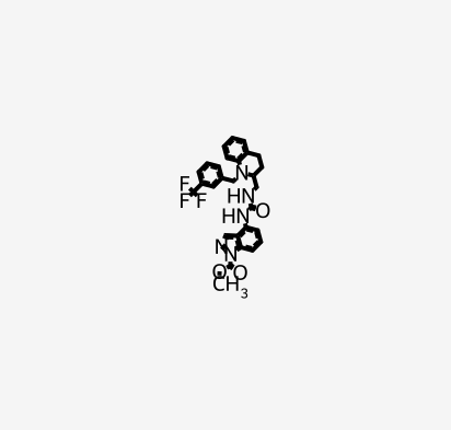 COC(=O)n1ncc2c(NC(=O)NCC3CCc4ccccc4N3Cc3cccc(C(F)(F)F)c3)cccc21